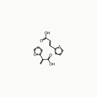 C=C(C(=O)O)c1ccco1.O=C(O)C=Cc1cccs1